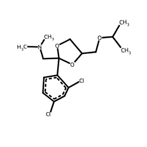 CC(C)OCC1COC(CN(C)C)(c2ccc(Cl)cc2Cl)O1